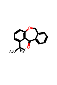 CC(=O)OC(C)c1cccc2c1C(=O)c1ccccc1CO2